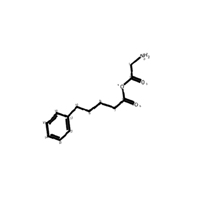 NCC(=O)OC(=O)CCCCc1ccccc1